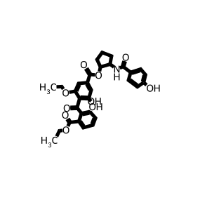 CCOC(=O)c1cccc(O)c1C(=O)c1c(O)cc(C(=O)OC2CCCC2NC(=O)c2ccc(O)cc2)cc1OCC